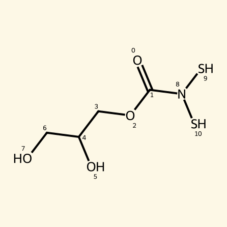 O=C(OCC(O)CO)N(S)S